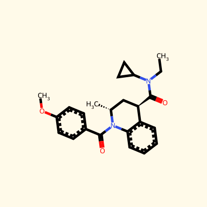 CCN(C(=O)[C@@H]1C[C@@H](C)N(C(=O)c2ccc(OC)cc2)c2ccccc21)C1CC1